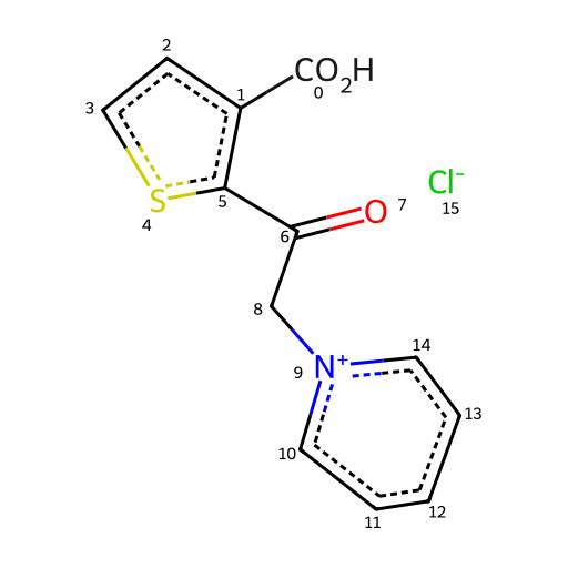 O=C(O)c1ccsc1C(=O)C[n+]1ccccc1.[Cl-]